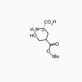 CC(C)(C)OC(=O)C(CO)C[C@H](N)C(=O)O